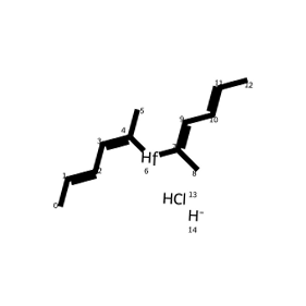 CC=CC=[C](C)[Hf][C](C)=CC=CC.Cl.[H-]